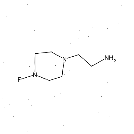 NCCN1CCN(F)CC1